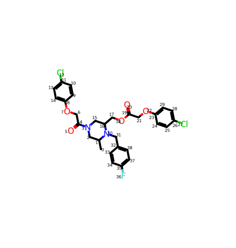 CC1CN(C(=O)COc2ccc(Cl)cc2)CC(COC(=O)COc2ccc(Cl)cc2)N1Cc1ccc(F)cc1